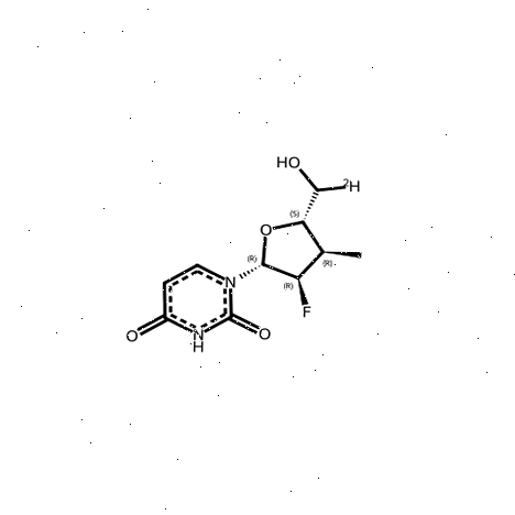 [2H]C(O)[C@H]1O[C@@H](n2ccc(=O)[nH]c2=O)[C@H](F)[C@@H]1C